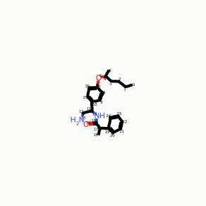 CCCCC(C)Oc1ccc(C(CN)NC(=O)C(C)c2ccccc2)cc1